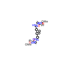 COC(=O)N[C@H](C(=O)N1C[C@@H](C)C[C@H]1c1nc(-c2ccc(-c3ccc(-c4ccc5nc([C@@H]6C[C@H](C)CN6C(=O)[C@@H](NC(=O)OC)C(C)C)[nH]c5c4)c4c3C3(CCCC3)CC4)cc2)c[nH]1)C(C)C